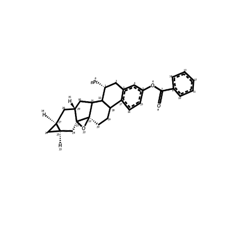 CCC[C@@H]1Cc2cc(OC(=O)c3ccccc3)ccc2C2CC[C@]34O[C@]35C[C@H]3C[C@H]3C[C@@H]5CC4C21